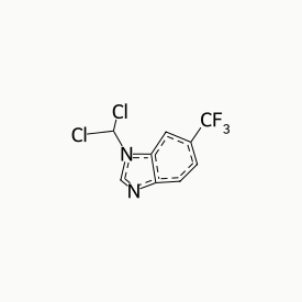 FC(F)(F)c1ccc2ncn(C(Cl)Cl)c2c1